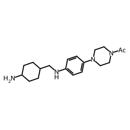 CC(=O)N1CCN(c2ccc(NCC3CCC(N)CC3)cc2)CC1